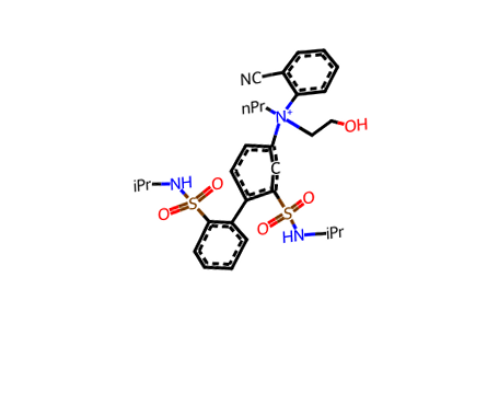 CCC[N+](CCO)(c1ccc(-c2ccccc2S(=O)(=O)NC(C)C)c(S(=O)(=O)NC(C)C)c1)c1ccccc1C#N